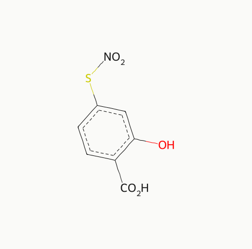 O=C(O)c1ccc(S[N+](=O)[O-])cc1O